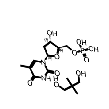 CC(C)(CO)CO.Cc1cn([C@H]2C[C@H](O)[C@@H](COP(=O)(O)O)O2)c(=O)[nH]c1=O